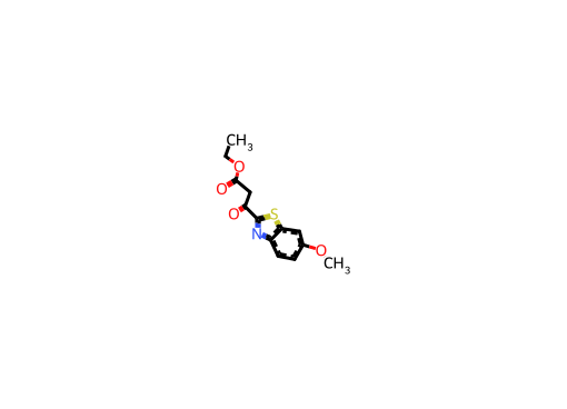 CCOC(=O)CC(=O)c1nc2ccc(OC)cc2s1